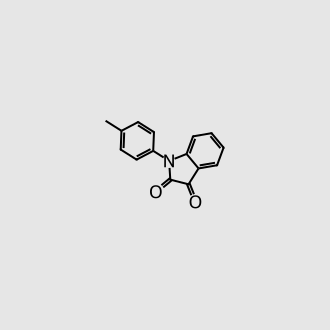 Cc1ccc(N2C(=O)C(=O)c3ccccc32)cc1